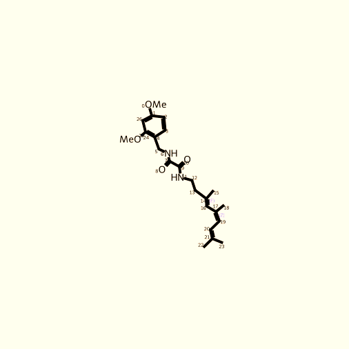 COc1ccc(CNC(=O)C(=O)NCC/C(C)=C/C(C)=C\C=C(C)C)c(OC)c1